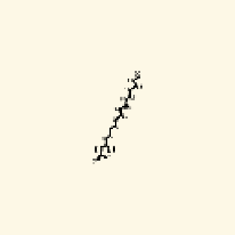 [CH2]C(C)OC(=O)CCCCCCCC(=C)CCCCCC